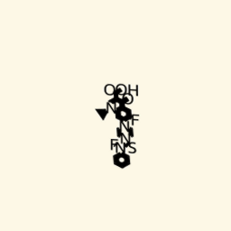 O=C(O)c1cn(C2CC2)c2cc(N3CCN(C(=S)N(F)c4ccccc4)CC3)c(F)cc2c1=O